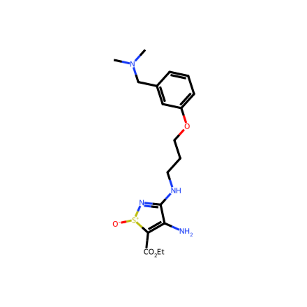 CCOC(=O)c1c(N)c(NCCCOc2cccc(CN(C)C)c2)n[s+]1[O-]